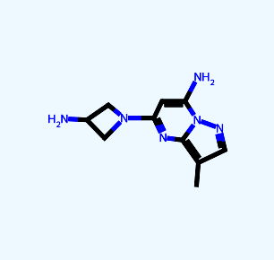 Cc1cnn2c(N)cc(N3CC(N)C3)nc12